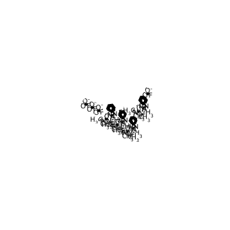 CN(C)C(On1nnc2ccccc21)=[N+](C)C.CN(C)C(On1nnc2ccccc21)=[N+](C)C.CN(C)C(On1nnc2ccccc21)=[N+](C)C.CN(C)C(On1nnc2ccccc21)=[N+](C)C.O=C([O-])F.O=C([O-])F.O=C([O-])F.O=C([O-])F